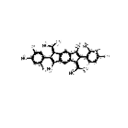 N#CC(C#N)=C1C(c2cc(F)c(C#N)cc2F)=C(C#N)c2cc3c(cc21)C(C#N)=C(c1ccc(F)nc1C#N)C3=C(C#N)C#N